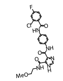 COCCNC(=O)c1[nH]cnc1C(=O)Nc1ccc(NC(=O)c2ccc(F)cc2Cl)cc1